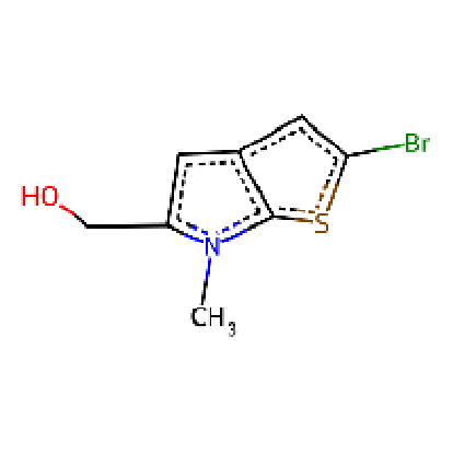 Cn1c(CO)cc2cc(Br)sc21